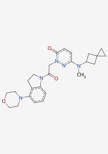 CN(c1ccc(=O)n(CC(=O)N2CCc3c(N4CCOCC4)cccc32)n1)C1CC2(CC2)C1